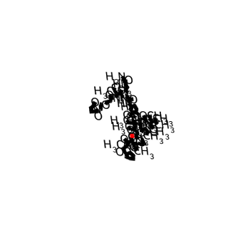 CCC(C)C(C(CC(=O)N1CCCC1C(OC)C(C)C(=O)NC(C)C(=O)c1ccccc1)OC)N(C)C(=O)[C@@H](NC(=O)C(C(C)C)N(C)C(=O)OCc1ccc(NC(=O)[C@H](CCCNC(N)=O)NC(=O)C(NC(=O)CCOCCN2C(=O)C=CC2=O)C(C)C)cc1S(=O)(=O)O)C(C)C